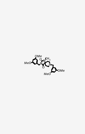 COc1cc(CN2CCC3(CC2)C(=O)N(Cc2cc(OC)cc(OC)c2)C(=O)N3C)cc(OC)c1